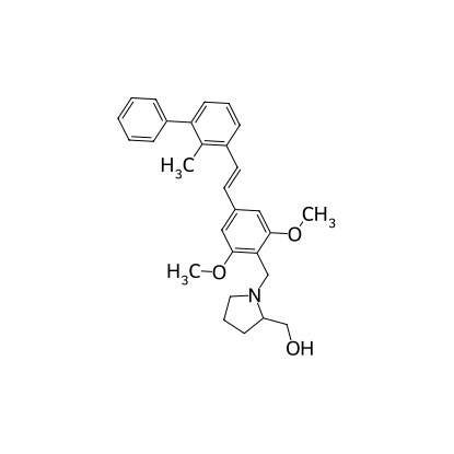 COc1cc(/C=C/c2cccc(-c3ccccc3)c2C)cc(OC)c1CN1CCCC1CO